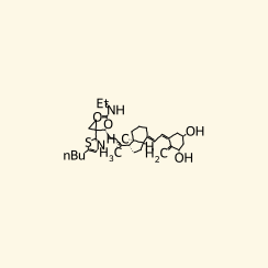 C=C1/C(=C\C=C2/CCC[C@]3(C)[C@@H]([C@H](C)CC[C@H](OC(=O)NCC)C4(c5ncc(CCCC)s5)CC4)CC[C@@H]23)C[C@@H](O)C[C@@H]1O